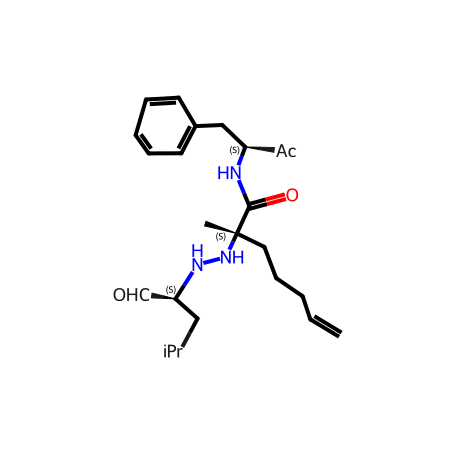 C=CCCC[C@](C)(NN[C@H](C=O)CC(C)C)C(=O)N[C@@H](Cc1ccccc1)C(C)=O